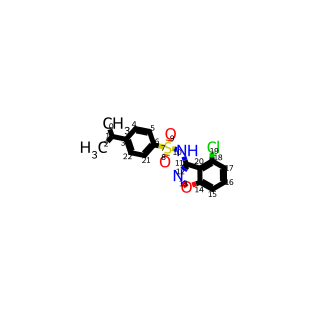 CC(C)c1ccc(S(=O)(=O)Nc2noc3cccc(Cl)c23)cc1